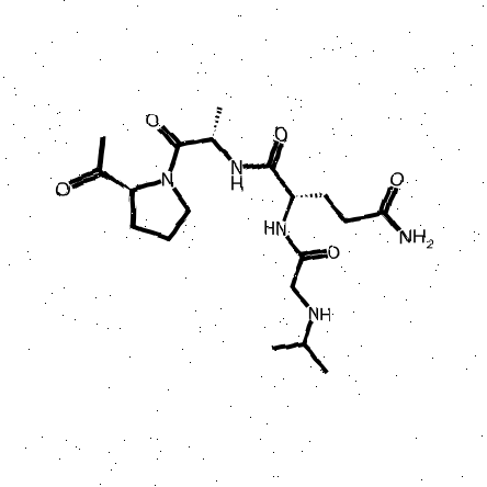 CC(=O)[C@@H]1CCCN1C(=O)[C@H](C)NC(=O)[C@H](CCC(N)=O)NC(=O)CNC(C)C